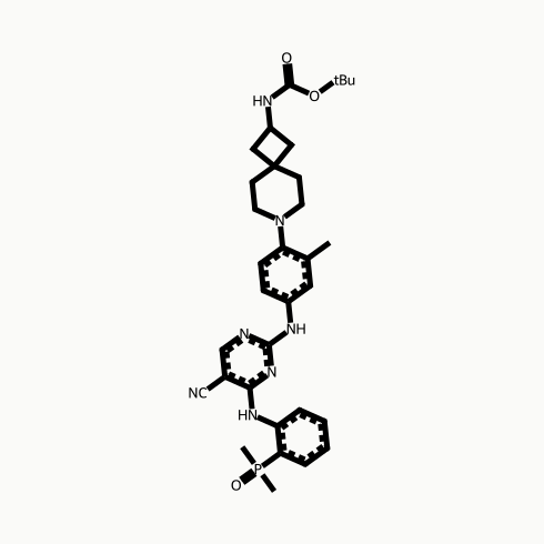 Cc1cc(Nc2ncc(C#N)c(Nc3ccccc3P(C)(C)=O)n2)ccc1N1CCC2(CC1)CC(NC(=O)OC(C)(C)C)C2